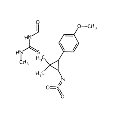 CNC(=S)NC=O.COc1ccc(C2C(N=S(=O)=O)C2(C)C)cc1